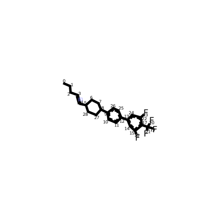 CCC/C=C/C1CCC(c2ccc(-c3cc(F)c(C(F)(F)F)c(F)c3)cc2)CC1